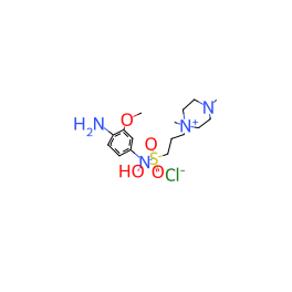 COc1cc(N(O)S(=O)(=O)CCC[N+]2(C)CCN(C)CC2)ccc1N.[Cl-]